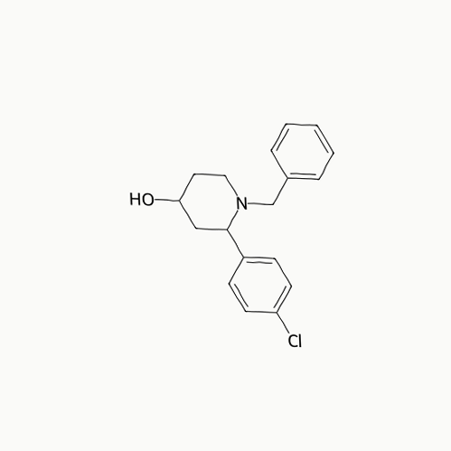 OC1CCN(Cc2ccccc2)C(c2ccc(Cl)cc2)C1